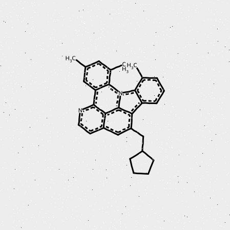 Cc1cc(C)c2c(c1)c1nccc3cc(CC4CCCC4)c4c5cccc(C)c5n2c4c31